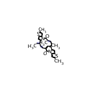 C/C=C1\C=C/C2=C[C@@](C)(C/C=C(\C)C(=O)n3c1cc1sc(C)cc13)c1cc3sc(C)cc3n1C2=O